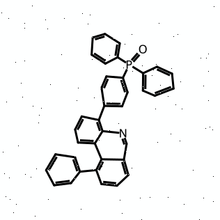 O=P(c1ccccc1)(c1ccccc1)c1ccc(-c2cccc3c2ncc2cccc(-c4ccccc4)c23)cc1